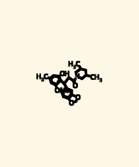 COc1cc(C)cc(O)c1C(CC(=O)N1CC(C)CC(C)C1)c1ccc2c(c1)OCO2